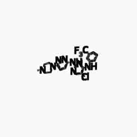 CN1CCN(c2ccc(Nc3ncc(Cl)c(Nc4cccc(C(F)(F)F)c4)n3)nn2)CC1